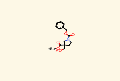 CC(C)(C)OC(=O)C1(CO)CCN(C(=O)OCc2ccccc2)C1